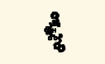 CC(CS(=O)(=O)Cc1ccccc1)C(=O)NC(CC(=O)O)C(=O)COC(=O)Cc1cccc2ccccc12